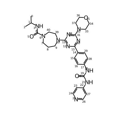 CC(C)NC(=O)N1CCCN(c2nc(-c3ccc(NC(=O)Nc4ccncc4)cc3)nc(N3CCOCC3)n2)CC1